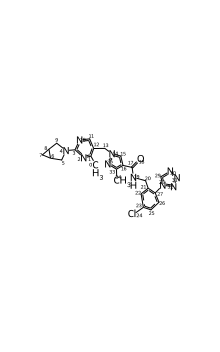 Cc1nc(N2CC3CC3C2)ncc1Cn1cc(C(=O)NCc2cc(Cl)ccc2-n2cnnn2)c(C)n1